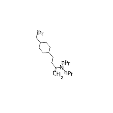 C=C(CCC1CCC(CC(C)C)CC1)N(CCC)CCC